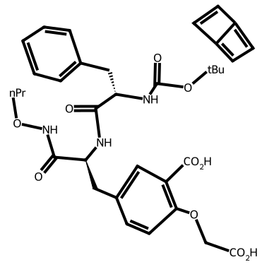 CCCONC(=O)[C@H](Cc1ccc(OCC(=O)O)c(C(=O)O)c1)NC(=O)[C@H](Cc1ccccc1)NC(=O)OC(C)(C)C.c1cc2ccc1-2